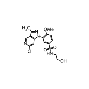 COc1ccc(S(=O)(=O)NCCO)cc1-n1nc(C)c2cnc(Cl)cc21